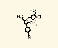 CCc1cc(-c2ccc(C#N)cc2)c(C)n1Cc1cnc(Cl)c(CO)c1